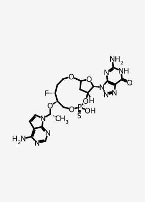 C[C@@H](O[C@@H]1COP(O)(=S)O[C@@H]2CC(OCC[C@H]1F)O[C@H]2n1nnc2c(=O)[nH]c(N)nc21)n1ccc2c(N)ncnc21